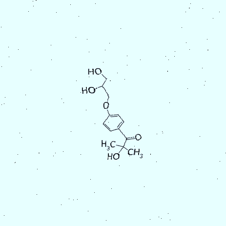 CC(C)(O)C(=O)c1ccc(OCC(O)CO)cc1